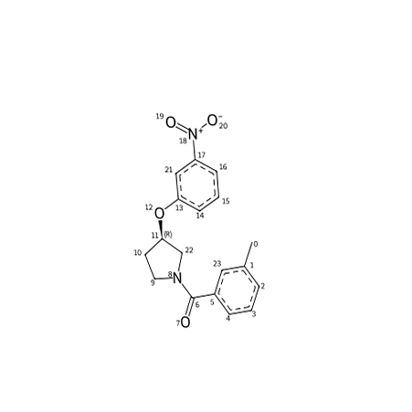 Cc1cccc(C(=O)N2CC[C@@H](Oc3cccc([N+](=O)[O-])c3)C2)c1